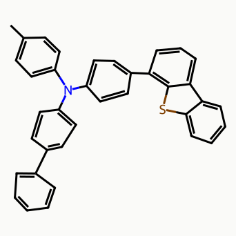 Cc1ccc(N(c2ccc(-c3ccccc3)cc2)c2ccc(-c3cccc4c3sc3ccccc34)cc2)cc1